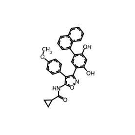 COc1ccc(-c2c(-c3cc(-c4cccc5ccccc45)c(O)cc3O)noc2NC(=O)C2CC2)cc1